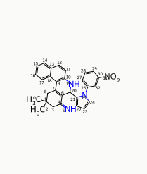 CC1(C)CC(=N)C2=C(C1)c1c(ccc3ccccc13)NC2c1cccn1-c1cccc([N+](=O)[O-])c1